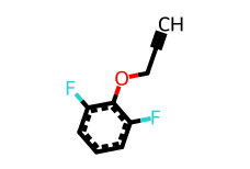 C#CCOc1c(F)cccc1F